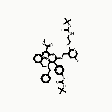 COC(=O)c1cnn2c(N(Cc3ccccc3)Cc3ccccc3)c(-c3ccc(NC(=O)OC(C)(C)C)cc3)c(NCc3cc(F)cnc3OCCNC(=O)OC(C)(C)C)nc12